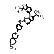 CC(C)c1cc2cnc(Nc3ccc(N4CCC5(CCN(C)CC5)CC4)cc3)nc2n1-c1cccc(C(C)(C)O)n1